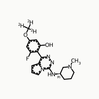 [2H]C([2H])([2H])Oc1cc(O)c(-c2nnc(N[C@@H]3CCCN(C)C3)n3cccc23)c(F)c1